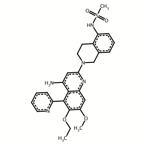 CCOc1c(OC)cc2nc(N3CCc4c(cccc4NS(C)(=O)=O)C3)cc(N)c2c1-c1ccccn1